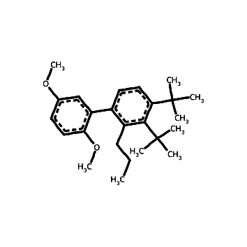 CCCc1c(-c2cc(OC)ccc2OC)ccc(C(C)(C)C)c1C(C)(C)C